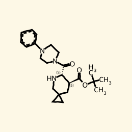 CC(C)(C)OC(=O)[C@H]1CC2(CC2)CN[C@@H]1C(=O)N1CCN(c2ccccc2)CC1